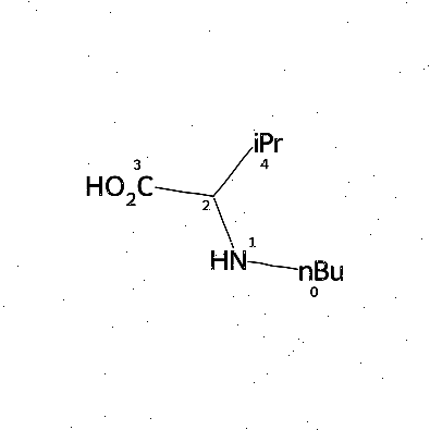 CCCCNC(C(=O)O)C(C)C